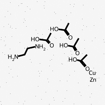 CC(=O)O.CC(=O)O.CC(=O)O.CC(=O)O.NCCN.[Cu].[Zn]